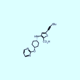 CC(C)(C)C#Cc1cc(N[C@H]2CC[C@H](Oc3ncccn3)CC2)c(C(=O)O)s1